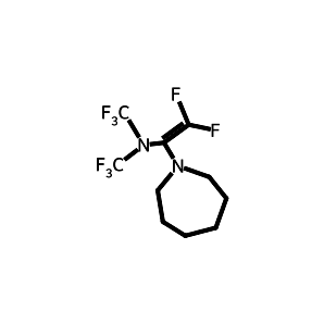 FC(F)=C(N1CCCCCC1)N(C(F)(F)F)C(F)(F)F